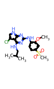 COc1cc(S(C)(=O)=O)ccc1Nc1nc(NCC(C)C)c2c(Cl)c[nH]c2n1